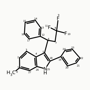 Cc1ccc2c(C(CC(F)(F)F)c3ccccc3)c(-c3ccccc3)[nH]c2c1